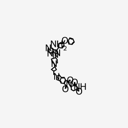 Nc1ncnc2c1c(-c1ccc(Oc3ccccc3)cc1)nn2C1CCN(C2CC(CN3Cc4cc5c(cc4C3)C(=O)N(C3CCC(=O)NC3=O)C5=O)C2)CC1